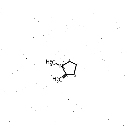 C=C1CCCN1C